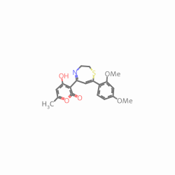 COc1ccc(C2=CC(c3c(O)cc(C)oc3=O)=NCCS2)c(OC)c1